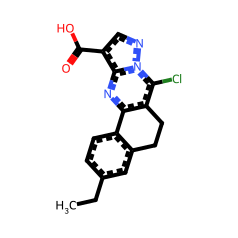 CCc1ccc2c(c1)CCc1c-2nc2c(C(=O)O)cnn2c1Cl